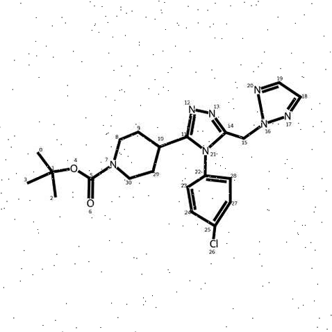 CC(C)(C)OC(=O)N1CCC(c2nnc(Cn3nccn3)n2-c2ccc(Cl)cc2)CC1